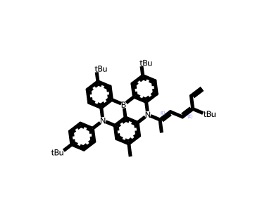 C=C/C(=C\C=C(/C)N1c2ccc(C(C)(C)C)cc2B2c3cc(C(C)(C)C)ccc3N(c3ccc(C(C)(C)C)cc3)c3cc(C)cc1c32)C(C)(C)C